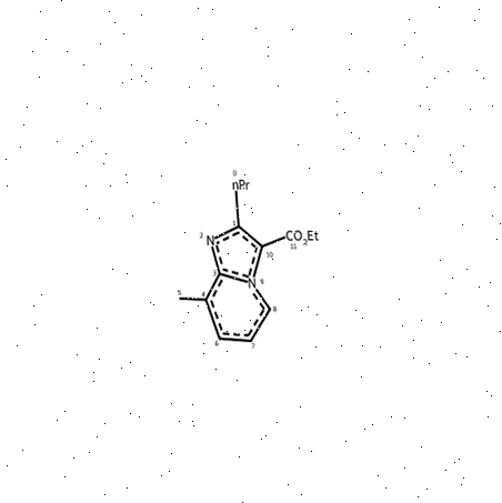 CCCc1nc2c(C)cccn2c1C(=O)OCC